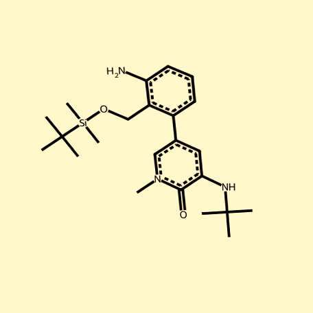 Cn1cc(-c2cccc(N)c2CO[Si](C)(C)C(C)(C)C)cc(NC(C)(C)C)c1=O